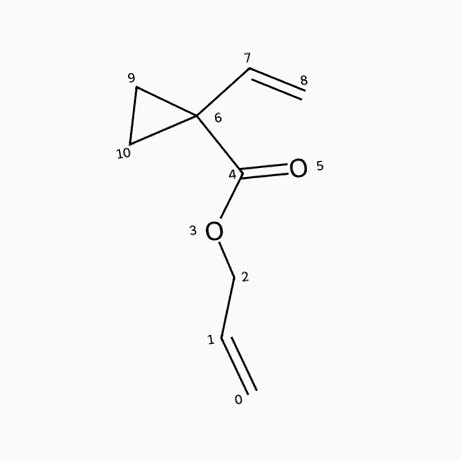 C=CCOC(=O)C1(C=C)CC1